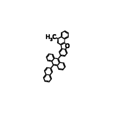 Cc1cc2c3cc(-c4c5ccccc5c(-c5ccc6ccccc6c5)c5ccccc45)ccc3oc2c2ccccc12